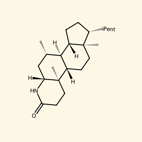 CCCC(C)[C@H]1CC[C@H]2[C@@H]3[C@@H](C)C[C@H]4NC(=O)CC[C@]4(C)[C@H]3CC[C@]12C